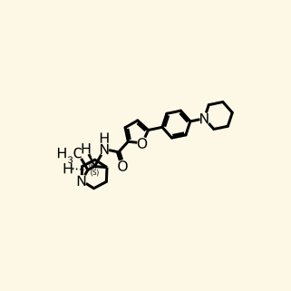 C[C@H]1[C@H](NC(=O)c2ccc(-c3ccc(N4CCCCC4)cc3)o2)C2CCN1CC2